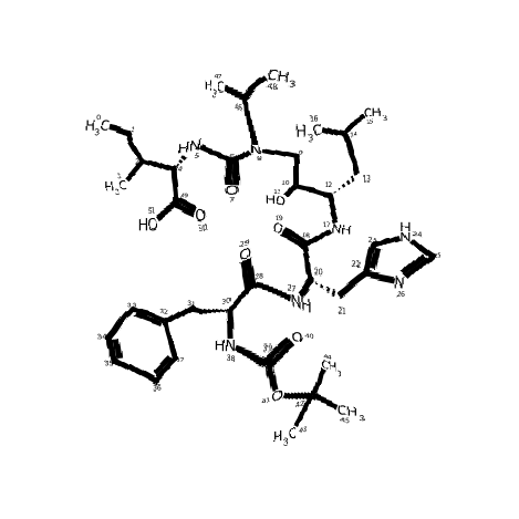 CCC(C)[C@H](NC(=O)N(CC(O)[C@H](CC(C)C)NC(=O)[C@H](Cc1c[nH]cn1)NC(=O)[C@H](Cc1ccccc1)NC(=O)OC(C)(C)C)C(C)C)C(=O)O